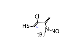 C=C(/C(Cl)=C/S)N(N=O)C(C)(C)C